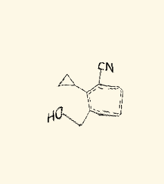 N#Cc1cccc(CO)c1C1CC1